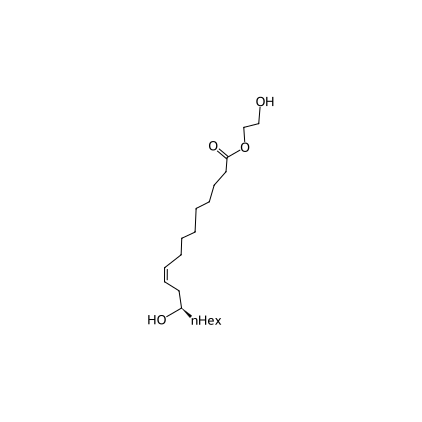 CCCCCC[C@@H](O)C/C=C\CCCCCCCC(=O)OCCO